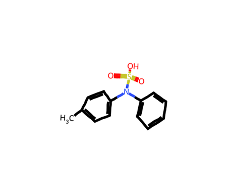 Cc1ccc(N(c2ccccc2)S(=O)(=O)O)cc1